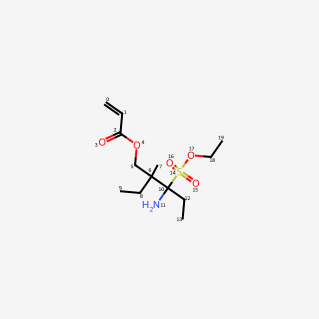 C=CC(=O)OCC(C)(CC)C(N)(CC)S(=O)(=O)OCC